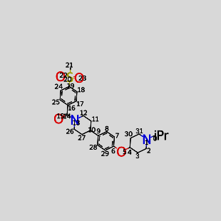 CC(C)N1CCC(Oc2ccc(C3CCN(C(=O)c4ccc(S(C)(=O)=O)cc4)CC3)cc2)CC1